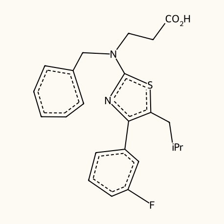 CC(C)Cc1sc(N(CCC(=O)O)Cc2ccccc2)nc1-c1cccc(F)c1